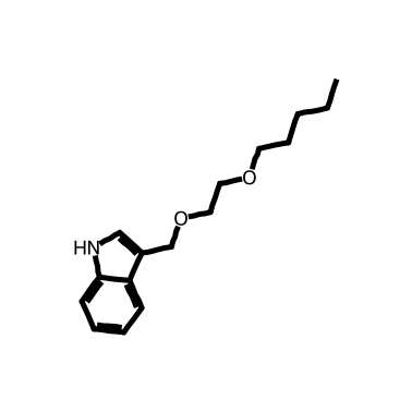 CCCCCOCCOCc1c[nH]c2ccccc12